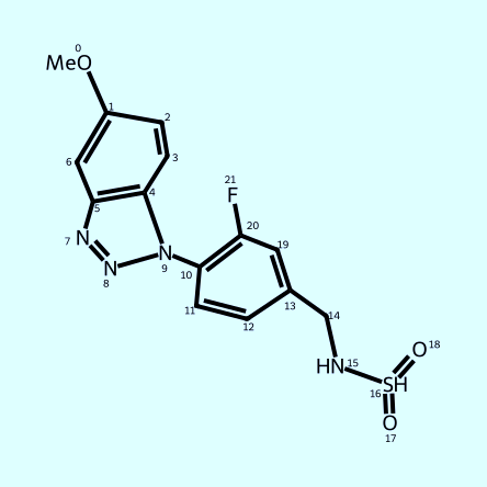 COc1ccc2c(c1)nnn2-c1ccc(CN[SH](=O)=O)cc1F